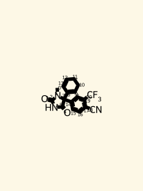 CN1C(=O)NC(=O)C1(C1=CC[CH]C=C1)c1ccc(C#N)c(C(F)(F)F)c1